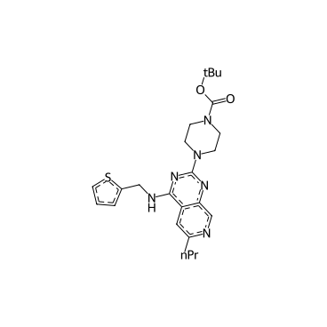 CCCc1cc2c(NCc3cccs3)nc(N3CCN(C(=O)OC(C)(C)C)CC3)nc2cn1